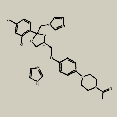 CC(=O)N1CCN(c2ccc(OC[C@H]3CO[C@](Cn4ccnc4)(c4ccc(Cl)cc4Cl)O3)cc2)CC1.c1c[nH]cn1